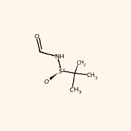 CC(C)(C)[S@@+]([O-])NC=O